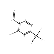 O=Nc1ccc(C(F)(F)F)cc1F